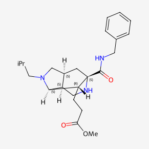 COC(=O)CC[C@@H]1[C@@H]2[C@@H]3CN[C@@]1(C(=O)NCc1ccccc1)C[C@@H]3CN2CC(C)C